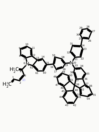 C=C/C=C\C(=C)n1c2ccccc2c2cc(-c3ccc(N(c4ccc(-c5ccccc5)cc4)c4ccc5c(c4)C4(c6ccccc6-c6ccccc64)c4ccccc4-5)cc3)ccc21